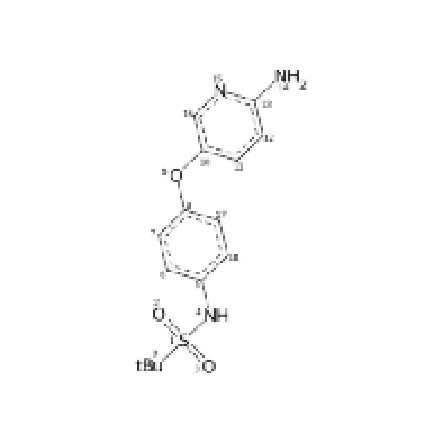 CC(C)(C)S(=O)(=O)Nc1ccc(Oc2ccc(N)nc2)cc1